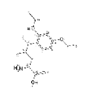 CCOc1ccc(C(C)C(C)CC(N)C(=O)O)c(OCC)c1